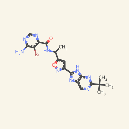 CC(NC(=O)c1ncnc(N)c1Br)c1cc(-c2nc3cnc(C(C)(C)C)nc3[nH]2)no1